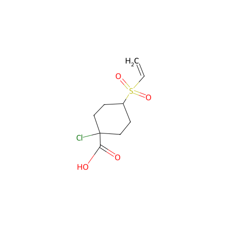 C=CS(=O)(=O)C1CCC(Cl)(C(=O)O)CC1